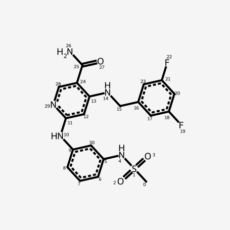 CS(=O)(=O)Nc1cccc(Nc2cc(NCc3cc(F)cc(F)c3)c(C(N)=O)cn2)c1